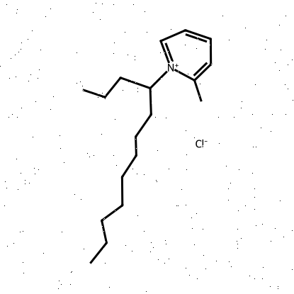 CCCCCCCCC(CCC)[n+]1ccccc1C.[Cl-]